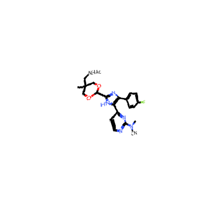 CC(=O)NCC1(C)COC(c2nc(-c3ccc(F)cc3)c(-c3ccnc(N(C)C#N)n3)[nH]2)OC1